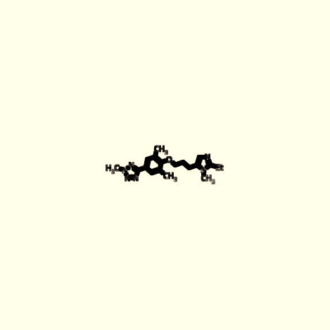 CCc1ncc(CCCOc2c(C)cc(-c3nnn(C)n3)cc2C)n1C